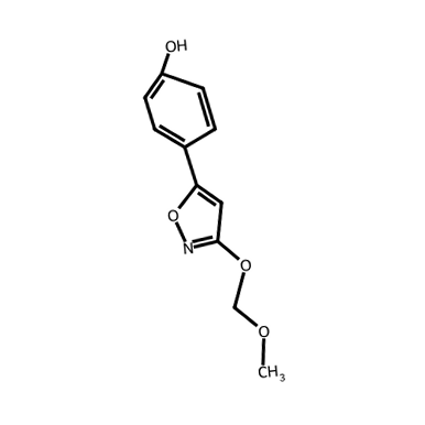 COCOc1cc(-c2ccc(O)cc2)on1